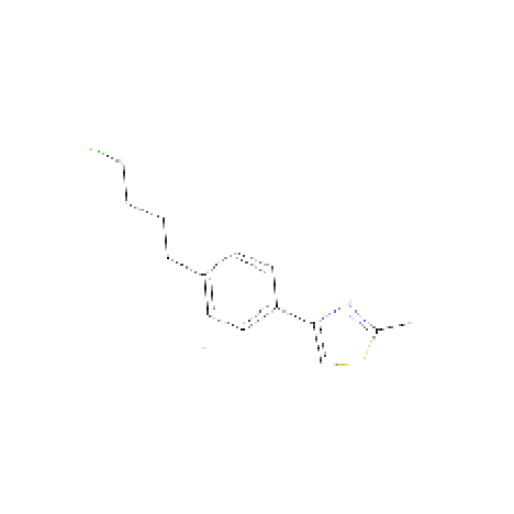 Br.Cc1nc(-c2ccc(CCCCCl)cc2)cs1